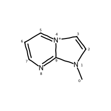 Cn1cc[n+]2cccnc12